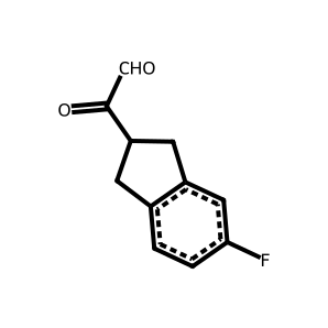 O=CC(=O)C1Cc2ccc(F)cc2C1